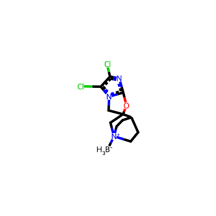 [BH3-][N+]12CCC(CC1)C1(Cn3c(nc(Cl)c3Cl)O1)C2